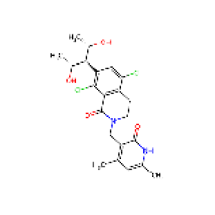 Cc1cc(C)c(CN2CCc3c(Cl)cc([C@H]([C@H](C)O)[C@@H](C)O)c(Cl)c3C2=O)c(=O)[nH]1